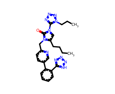 CCCCc1cn(-c2nnnn2CCC)c(=O)n1Cc1ccc(-c2ccccc2-c2nnn[nH]2)cn1